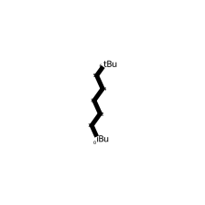 CCC(C)[CH]CCCCC(C)(C)C